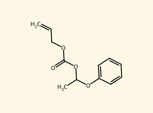 C=CCOC(=O)OC(C)Oc1ccccc1